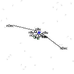 CCCCCCCCCCCCCCCCCCCCCCCCCCCCCc1c(CCCC)cc(C2=C(CCCCC)C(CCCCCCCC)=C(c3cc(CCCC)c(CCCCCCCCCCCCCCCCCCCCCCCCCCCCC)c(CCCC)c3)[N+]2=[N-])cc1CCCC.[Cl][Pd][Cl]